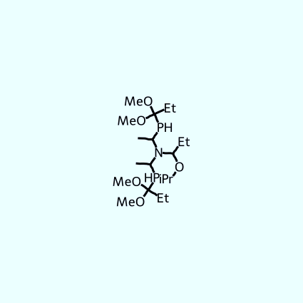 CCC(OC(C)C)N(C(C)PC(CC)(OC)OC)C(C)PC(CC)(OC)OC